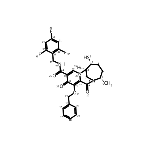 C[C@H]1CC[C@@H](S)[C@H]2CN1C(=O)c1c(OCc3ccccc3)c(=O)c(C(=O)NCc3c(F)cc(F)cc3F)cn12